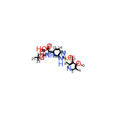 COc1c(C)cnc(C[S+]([O-])c2nc3ccc(C(NC(=O)OC(C)(C)C)C(=O)O)cc3[nH]2)c1C